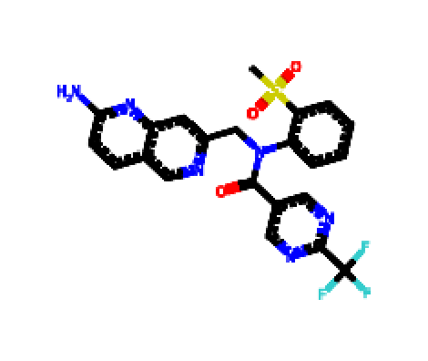 CS(=O)(=O)c1ccccc1N(Cc1cc2nc(N)ccc2cn1)C(=O)c1cnc(C(F)(F)F)nc1